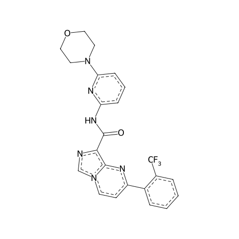 O=C(Nc1cccc(N2CCOCC2)n1)c1ncn2ccc(-c3ccccc3C(F)(F)F)nc12